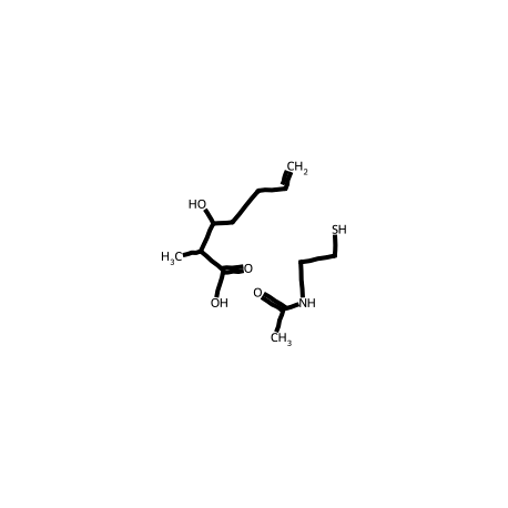 C=CCCC(O)C(C)C(=O)O.CC(=O)NCCS